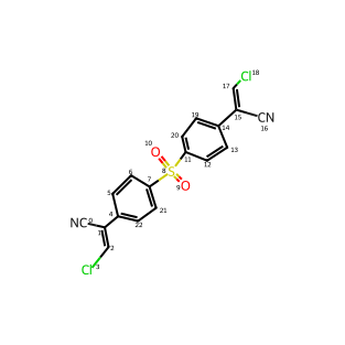 N#CC(=CCl)c1ccc(S(=O)(=O)c2ccc(C(C#N)=CCl)cc2)cc1